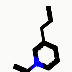 C=CCc1ccc[n+](C=C)c1